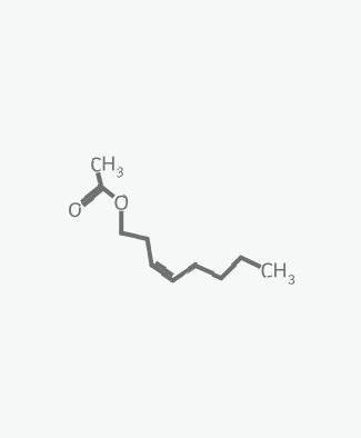 CCCC/C=C\CCOC(C)=O